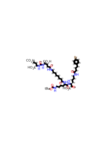 CC(C)(C)OC(=O)NCCCCC(NC(=O)CCCCCCCNC(=O)CCC(NC(=O)NC(CCC(=O)O)C(=O)O)C(=O)O)C(=O)N[C@@H](CCCCNC(=O)CCCc1ccc(Br)cc1)C(=O)C(=O)O